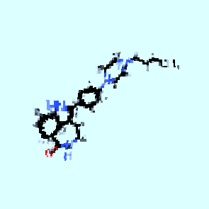 CCCCN1CCN(c2ccc(-c3[nH]c4cccc5c4c3CCNC5=O)cc2)CC1